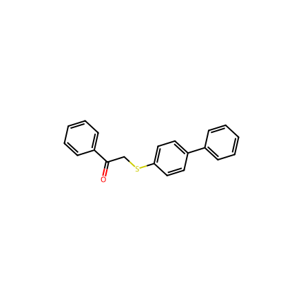 O=C(CSc1ccc(-c2ccccc2)cc1)c1ccccc1